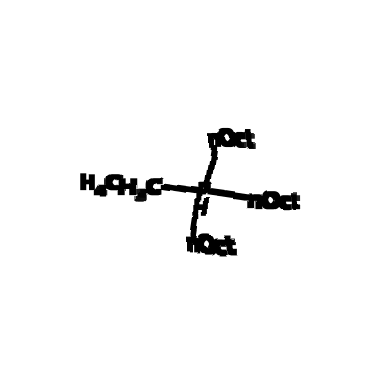 C.CCCCCCCC[PH](C)(CCCCCCCC)CCCCCCCC